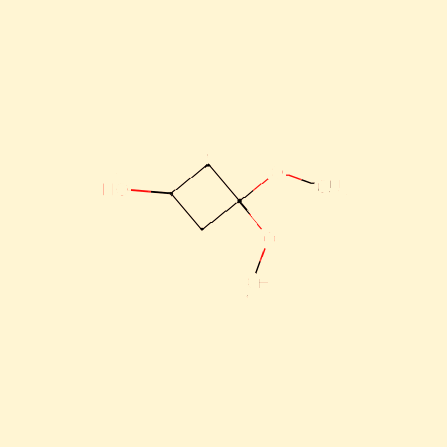 COC1(OC)CC(O)C1